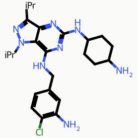 CC(C)c1nn(C(C)C)c2c(NCc3ccc(Cl)c(N)c3)nc(NC3CCC(N)CC3)nc12